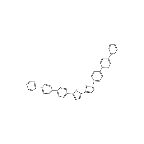 c1ccc(-c2ccc(-c3ccc(-c4ccc(-c5ccc(-c6ccc(-c7ccc(-c8ccccc8)cc7)cc6)s5)s4)cc3)cc2)cc1